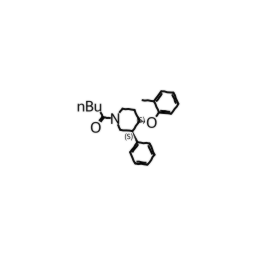 CCCCC(=O)N1CC[C@H](Oc2ccccc2C)[C@@H](c2ccccc2)C1